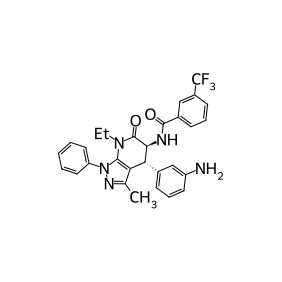 CCN1C(=O)[C@@H](NC(=O)c2cccc(C(F)(F)F)c2)[C@H](c2cccc(N)c2)c2c(C)nn(-c3ccccc3)c21